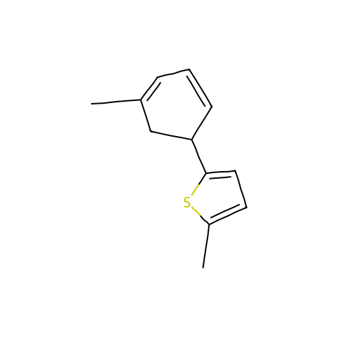 CC1=CC=CC(c2ccc(C)s2)C1